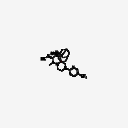 COC12CC3CC(C1)C(N/C(=N/C#N)C(C)N1CCN(c4ccc(C(F)(F)F)cn4)CC1)C(C3)C2